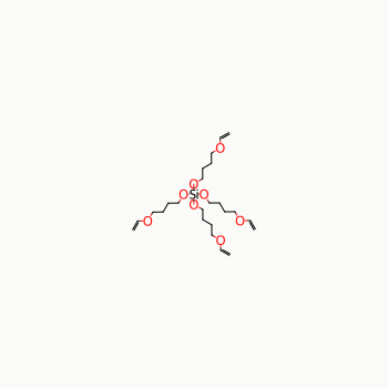 C=COCCCCO[Si](OCCCCOC=C)(OCCCCOC=C)OCCCCOC=C